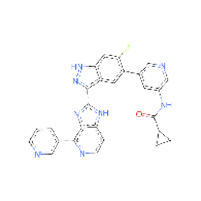 O=C(Nc1cncc(-c2cc3c(-c4nc5c(-c6cccnc6)nccc5[nH]4)n[nH]c3cc2F)c1)C1CC1